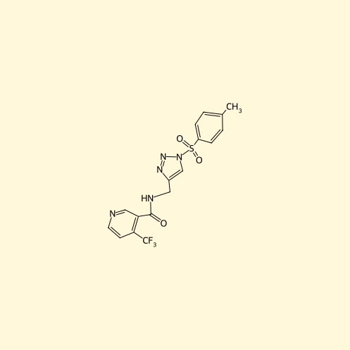 Cc1ccc(S(=O)(=O)n2cc(CNC(=O)c3cnccc3C(F)(F)F)nn2)cc1